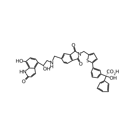 O=C1c2ccc(CNC[C@H](O)c3ccc(O)c4[nH]c(=O)ccc34)cc2C(=O)N1Cc1ccc(-c2cccc([C@](O)(C(=O)O)c3ccccc3)c2)s1